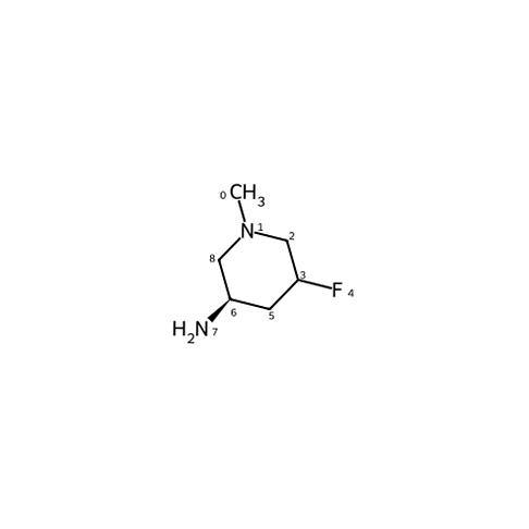 CN1CC(F)C[C@@H](N)C1